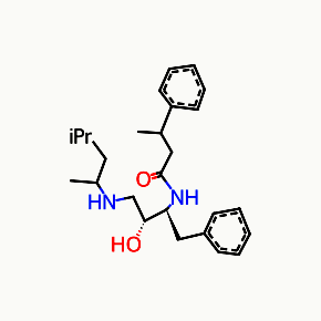 CC(C)CC(C)NC[C@@H](O)[C@H](Cc1ccccc1)NC(=O)CC(C)c1ccccc1